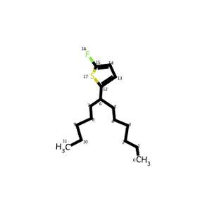 CCCCCCC(CCCCC)c1ccc(F)s1